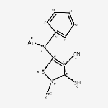 CC(=O)N(C1=C(C#N)C(S)N(C(C)=O)S1)c1ccccc1